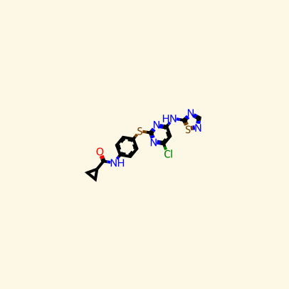 O=C(Nc1ccc(Sc2nc(Cl)cc(Nc3ncns3)n2)cc1)C1CC1